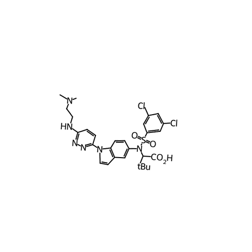 CN(C)CCNc1ccc(-n2ccc3cc(N(C(C(=O)O)C(C)(C)C)S(=O)(=O)c4cc(Cl)cc(Cl)c4)ccc32)nn1